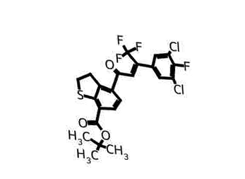 CC(C)(C)OC(=O)c1ccc(C(=O)C=C(c2cc(Cl)c(F)c(Cl)c2)C(F)(F)F)c2c1SCC2